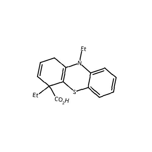 CCN1C2=C(Sc3ccccc31)C(CC)(C(=O)O)C=CC2